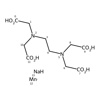 O=C(O)CN(CCN(CC(=O)O)CC(=O)O)CC(=O)O.[Mn].[NaH]